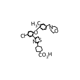 Cc1cc(CN2CCOCC2)ccc1COc1ccc(Cl)cc1-c1csc(C2CCC(C(=O)O)CC2)n1